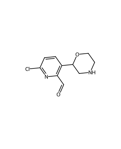 O=Cc1nc(Cl)ccc1C1CNCCO1